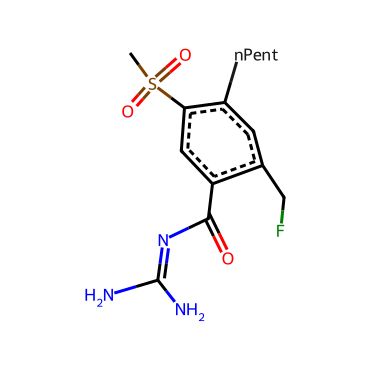 CCCCCc1cc(CF)c(C(=O)N=C(N)N)cc1S(C)(=O)=O